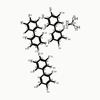 Cc1c(F)c(F)c(F)c(F)c1-c1c(F)c(F)c(F)c(F)c1F.Fc1cc(-c2c(F)c(F)c(F)c(F)c2F)c(F)c(F)c1F.Fc1cc(-c2c(F)c(F)c(F)c(F)c2F)c(F)c(F)c1F.OB(O)O